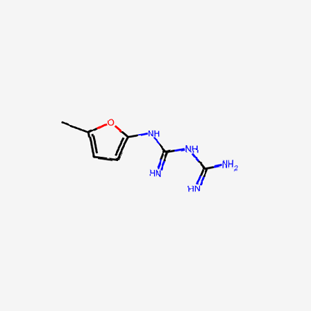 Cc1ccc(NC(=N)NC(=N)N)o1